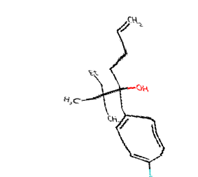 C=CCCC(O)(c1ccc(F)cc1)C(C)(C)CC